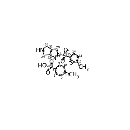 Cc1ccc(S(=O)(=O)O)cc1.Cc1ccc(S(=O)(=O)n2cc3c(n2)CNC3)s1